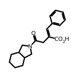 O=C(O)C(=Cc1ccccc1)CC(=O)N1CC2CCCCC2C1